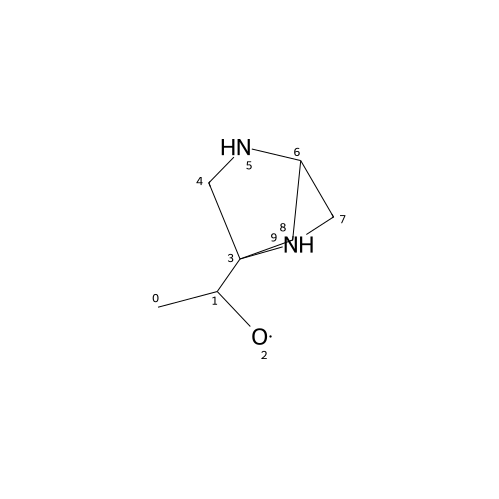 CC([O])C12CNC(CN1)C2